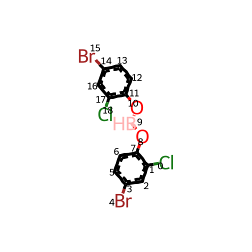 Clc1cc(Br)ccc1OBOc1ccc(Br)cc1Cl